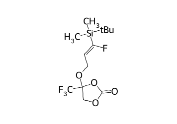 CC(C)(C)[Si](C)(C)/C(F)=C/COC1(C(F)(F)F)COC(=O)O1